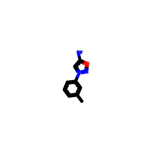 Cc1cccc(-[n+]2cc([NH-])on2)c1